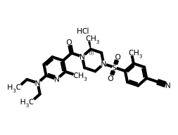 CCN(CC)c1ccc(C(=O)N2CCN(S(=O)(=O)c3ccc(C#N)cc3C)C[C@@H]2C)c(C)n1.Cl